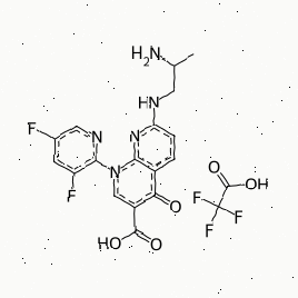 CC(N)CNc1ccc2c(=O)c(C(=O)O)cn(-c3ncc(F)cc3F)c2n1.O=C(O)C(F)(F)F